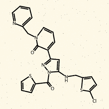 O=C(c1cccs1)n1nc(-c2cccn(Cc3ccccn3)c2=O)cc1NCc1ccc(Cl)s1